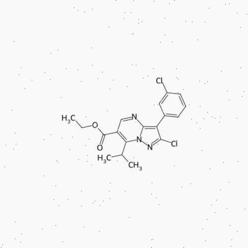 CCOC(=O)c1cnc2c(-c3cccc(Cl)c3)c(Cl)nn2c1C(C)C